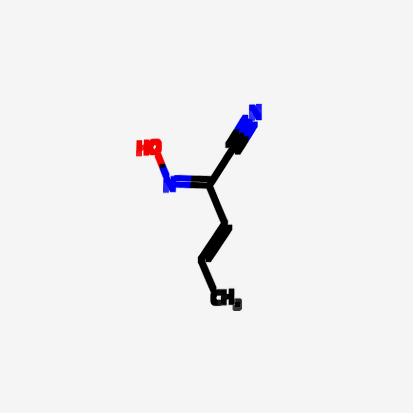 CC=CC(C#N)=NO